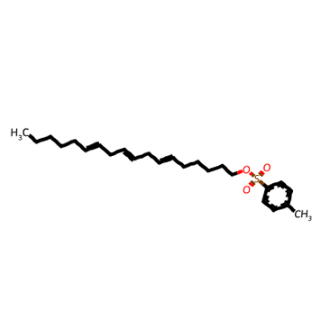 CCCCCC=CCC=CCC=CCCCCCOS(=O)(=O)c1ccc(C)cc1